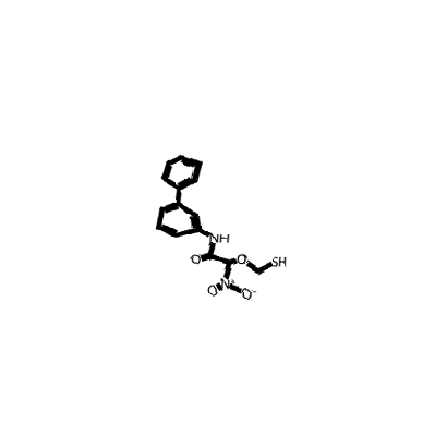 O=C(Nc1cccc(-c2ccccc2)c1)C(OCS)[N+](=O)[O-]